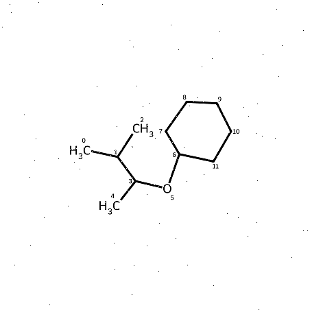 CC(C)C(C)OC1CCCCC1